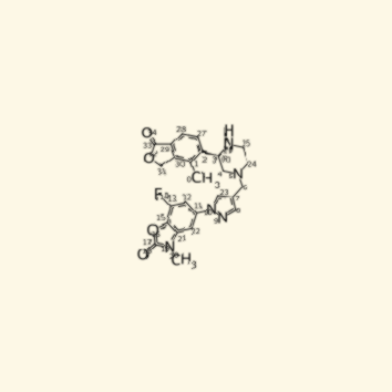 Cc1c([C@@H]2CN(Cc3cnn(-c4cc(F)c5oc(=O)n(C)c5c4)c3)CCN2)ccc2c1COC2=O